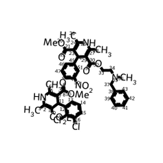 CCOC(=O)C1=C(C)NC(C)=C(C(=O)OC)C1c1cccc(Cl)c1Cl.COC(=O)C1=C(C)NC(C)=C(C(=O)OCCN(C)Cc2ccccc2)C1c1cccc([N+](=O)[O-])c1